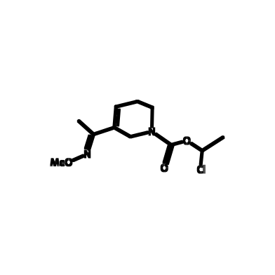 CON=C(C)C1=CCCN(C(=O)OC(C)Cl)C1